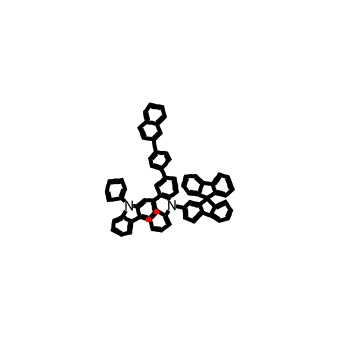 c1ccc(N(c2ccc3c(c2)C2(c4ccccc4-c4ccccc42)c2ccccc2-3)c2ccc(-c3ccc(-c4ccc5ccccc5c4)cc3)cc2-c2ccc3c4ccccc4n(-c4ccccc4)c3c2)cc1